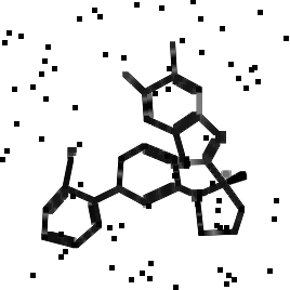 Cc1cc2nc([C@]3(C)CCCN3C3=[C]C(c4ccccc4F)CC=C3)[nH]c2cc1C